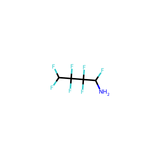 NC(F)C(F)(F)C(F)(F)C(F)F